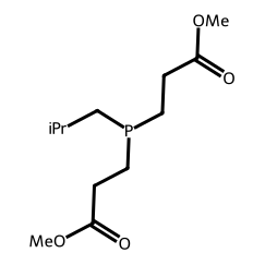 COC(=O)CCP(CCC(=O)OC)CC(C)C